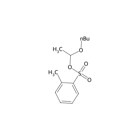 CCCCOC(C)OS(=O)(=O)c1ccccc1C